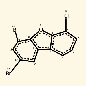 Clc1cccc2c1oc1c(Br)cc(Br)cc12